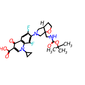 CC(C)(C)OC(=O)NCC12CN(c3c(F)cc4c(=O)c(C(=O)O)cn(C5CC5)c4c3F)C[C@H]1CCO2